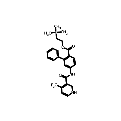 C[Si](C)(C)CCOC(=O)c1ccc(NC(=O)C2=C(C(F)(F)F)C=CNC2)cc1-c1ccccc1